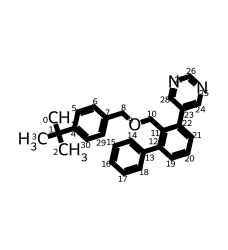 CC(C)(C)c1ccc(COCc2c(-c3ccccc3)cccc2-c2cncnc2)cc1